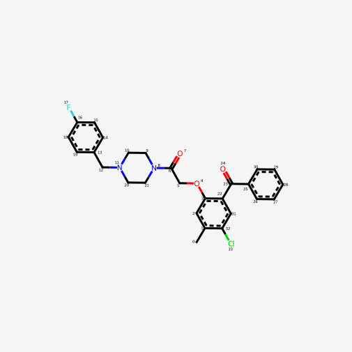 Cc1cc(OCC(=O)N2CCN(Cc3ccc(F)cc3)CC2)c(C(=O)c2ccccc2)cc1Cl